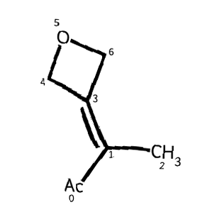 CC(=O)C(C)=C1COC1